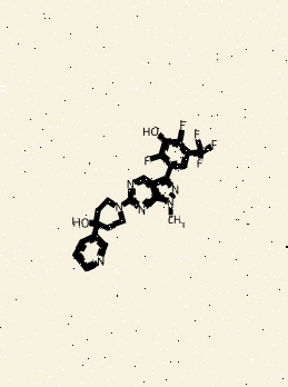 Cn1nc(-c2cc(C(F)(F)F)c(F)c(O)c2F)c2cnc(N3CCC(O)(c4cccnc4)CC3)nc21